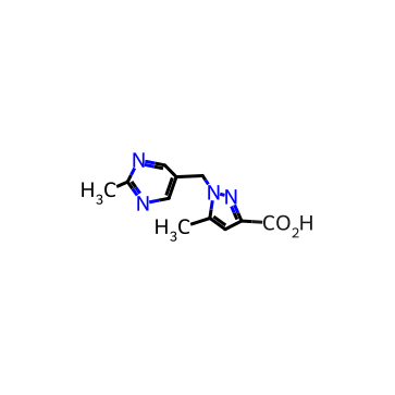 Cc1ncc(Cn2nc(C(=O)O)cc2C)cn1